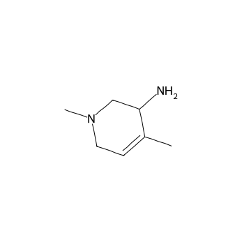 CC1=CCN(C)CC1N